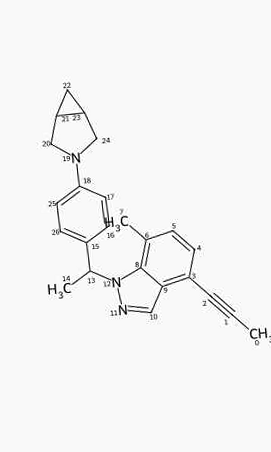 CC#Cc1ccc(C)c2c1cnn2C(C)c1ccc(N2CC3CC3C2)cc1